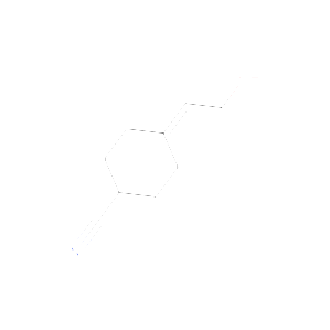 N#CC1CCC(=CCO)CC1